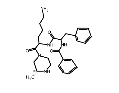 C[C@@H]1CN(C(=O)C(CCCCN)NC(=O)C(Cc2ccccc2)NC(=O)c2ccccc2)CCN1